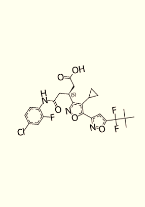 CC(C)(C)C(F)(F)c1cc(-c2onc([C@H](CC(=O)O)CC(=O)Nc3ccc(Cl)cc3F)c2C2CC2)no1